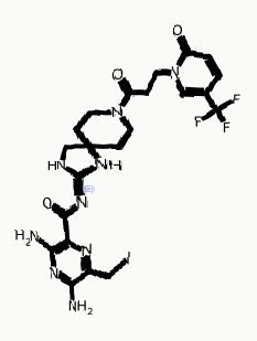 Nc1nc(N)c(C(=O)/N=C2\NCC3(CCN(C(=O)CCn4cc(C(F)(F)F)ccc4=O)CC3)N2)nc1CI